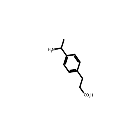 CC(N)c1ccc(CCC(=O)O)cc1